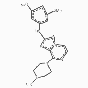 COc1cc(Nc2nc3c(N4CCN(C=O)CC4)nccn3n2)cc(OC)c1